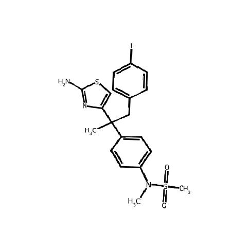 CN(c1ccc(C(C)(Cc2ccc(I)cc2)c2csc(N)n2)cc1)S(C)(=O)=O